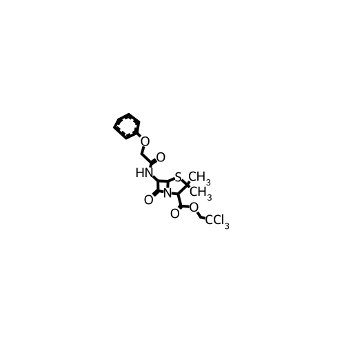 CC1(C)SC2C(NC(=O)COc3ccccc3)C(=O)N2C1C(=O)OCC(Cl)(Cl)Cl